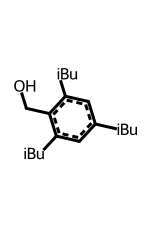 CCC(C)c1cc(C(C)CC)c(CO)c(C(C)CC)c1